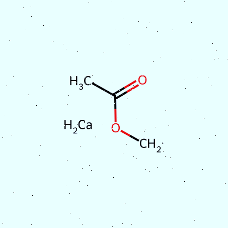 [CH2]OC(C)=O.[CaH2]